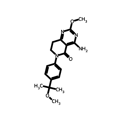 COc1nc(N)c2c(n1)CCN(c1ccc(C(C)(C)OC)cc1)C2=O